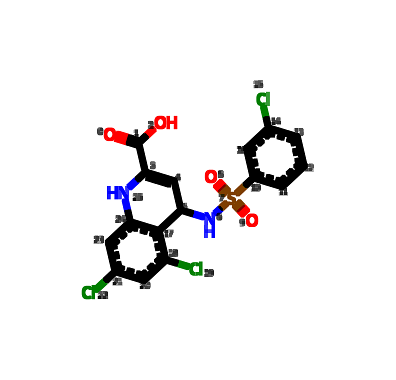 O=C(O)C1=CC(NS(=O)(=O)c2cccc(Cl)c2)c2c(Cl)cc(Cl)cc2N1